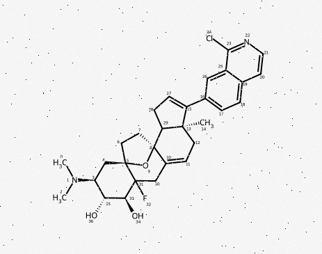 CN(C)[C@H]1C[C@@]23CC[C@@]4(O2)C(=CC[C@]2(C)C(c5ccc6ccnc(Cl)c6c5)=CCC24)CC3(F)[C@@H](O)[C@@H]1O